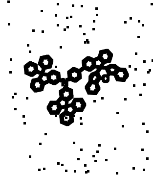 c1ccc(C2(c3ccccc3)c3ccccc3-c3cc(N(c4ccc(-c5ccc6c(c5)C5(c7ccccc7-6)c6ccc7ccccc7c6Oc6c5ccc5ccccc65)cc4)c4ccc5c(c4)-c4ccccc4C54c5ccccc5-c5ccccc54)ccc32)cc1